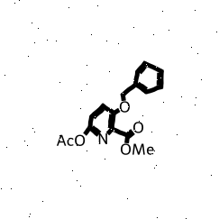 COC(=O)c1nc(OC(C)=O)ccc1OCc1ccccc1